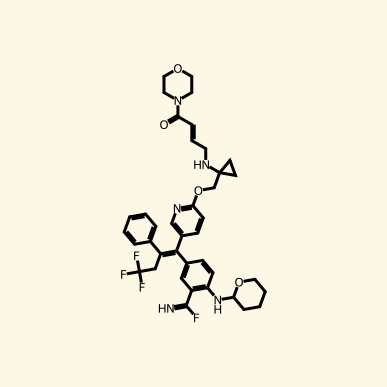 N=C(F)c1cc(/C(=C(\CC(F)(F)F)c2ccccc2)c2ccc(OCC3(NC/C=C/C(=O)N4CCOCC4)CC3)nc2)ccc1NC1CCCCO1